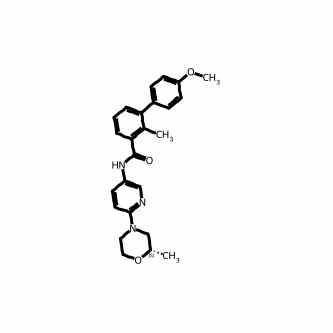 COc1ccc(-c2cccc(C(=O)Nc3ccc(N4CCO[C@@H](C)C4)nc3)c2C)cc1